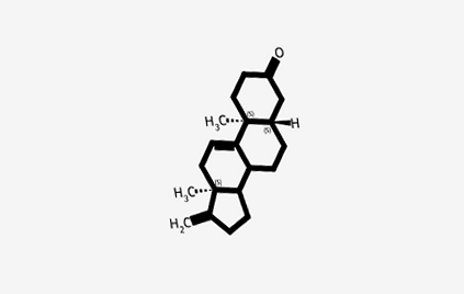 C=C1CCC2C3CC[C@H]4CC(=O)CC[C@]4(C)C3=CC[C@]12C